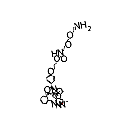 COC(=O)[C@@]1(Cc2ccccc2)N=C(c2ccc(OCCCOC(=O)NCCOCCOCCN)cc2)O[C@H]1c1ccccc1CN=[N+]=[N-]